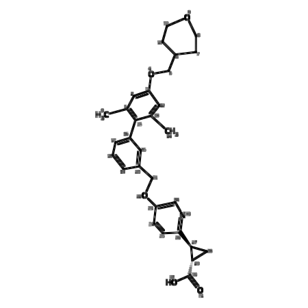 Cc1cc(OCC2CCOCC2)cc(C)c1-c1cccc(COc2ccc([C@H]3C[C@@H]3C(=O)O)nc2)c1